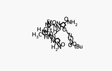 CCn1nc(C)cc1C(=O)Nc1nc2nc(C(N)=O)ccc2n1CCCCn1c(NC(=O)c2cc(C)nn2CC)nc2cc(C(N)=O)cc(OCCCN3CCN(C(=O)OC(C)(C)C)CC3)c21